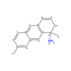 Cc1ccc2cc3c(cc2c1)C(C)(N)CC=C3